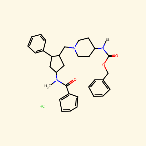 CCN(C(=O)OCc1ccccc1)C1CCN(CC2CC(N(C)C(=O)c3ccccc3)CC2c2ccccc2)CC1.Cl